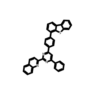 c1ccc(-c2cc(-c3ccc(-c4cccc5c4sc4ccccc45)cc3)nc(-c3ccc4ccccc4n3)n2)cc1